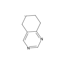 [C]1CCc2ncncc2C1